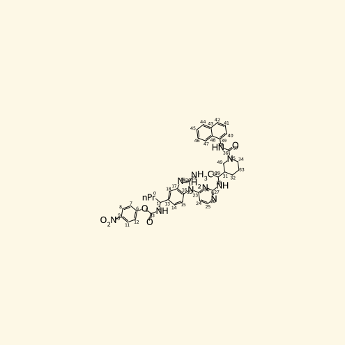 CCCC(NC(=O)Oc1ccc([N+](=O)[O-])cc1)c1ccc2c(c1)nc(N)n2-c1ccnc(NC(C)C2CCCN(C(=O)Nc3cccc4ccccc34)C2)n1